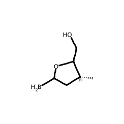 BC1C[C@@H](C)C(CO)O1